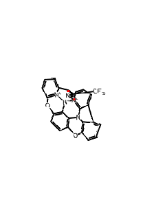 FC(F)(F)c1cc2n(n1)[N+]13c4c(ccc5c4-n4c6c(cccc6c6ccc[n+]1c64)O5)Oc1cccc-2[n+]13